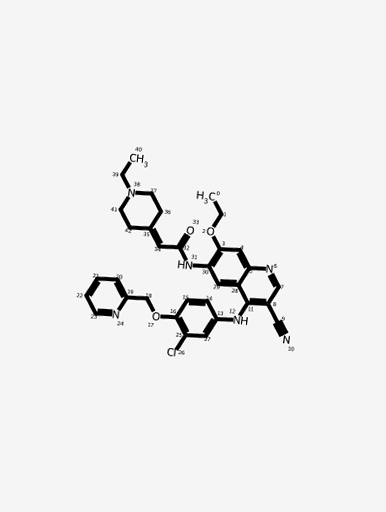 CCOc1cc2ncc(C#N)c(Nc3ccc(OCc4ccccn4)c(Cl)c3)c2cc1NC(=O)C=C1CCN(CC)CC1